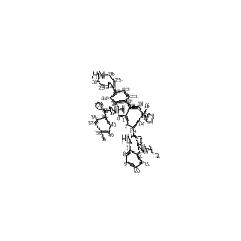 CC1=CC(C(=O)Nc2ccccc2N)=CC(C)(Cl)C=C1c1ccc(N2CCNCC2)cc1NC(=O)c1ccc(C)cc1